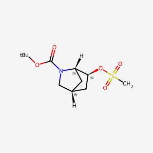 CC(C)(C)OC(=O)N1C[C@H]2C[C@H](OS(C)(=O)=O)[C@@H]1C2